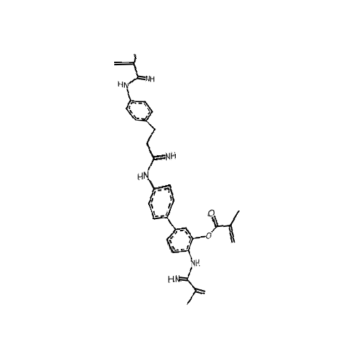 C=C(C)C(=N)Nc1ccc(CCC(=N)Nc2ccc(-c3ccc(NC(=N)C(=C)C)c(OC(=O)C(=C)C)c3)cc2)cc1